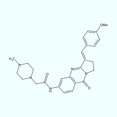 COc1ccc(C=C2CCn3c2nc2cc(NC(=O)CN4CCN(C)CC4)ccc2c3=O)cc1